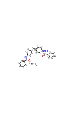 CCO/C(=N\c1ccc(Cc2ccc(NC(=O)c3ccccc3)cc2)cc1)c1ccccc1